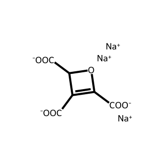 O=C([O-])C1=C(C(=O)[O-])C(C(=O)[O-])O1.[Na+].[Na+].[Na+]